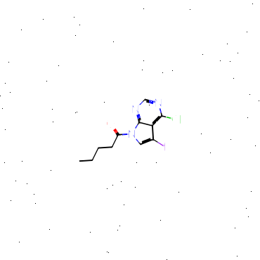 CCCCC(=O)n1cc(I)c2c(Cl)ncnc21